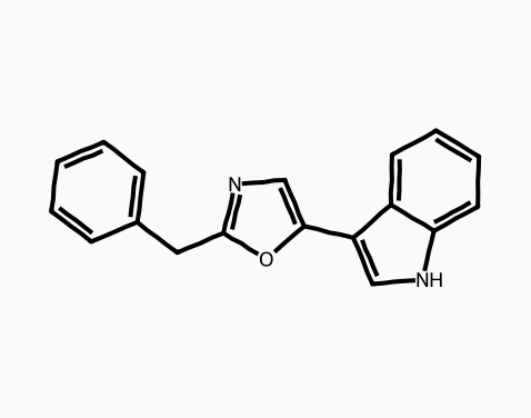 c1ccc(Cc2ncc(-c3c[nH]c4ccccc34)o2)cc1